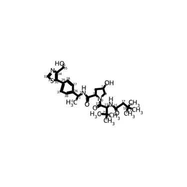 CC(NC(=O)C1CC(O)CN1C(=O)C(NC(=O)CC(C)(C)C)C(C)(C)C)c1ccc(-c2scnc2CO)cc1